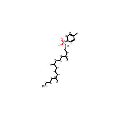 Cc1ccc(S(=O)(=O)OCCC(C)CCCC(C)CCCC(C)CCCC(C)C)cc1